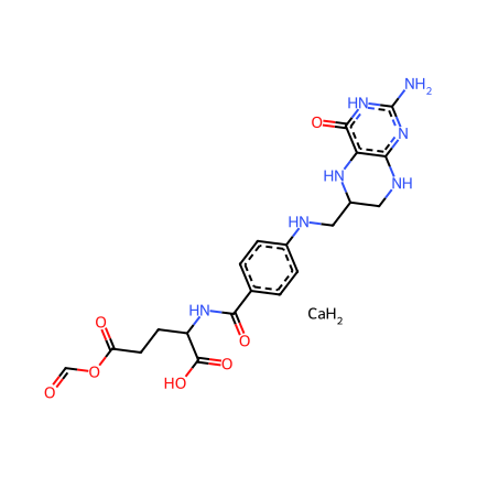 Nc1nc2c(c(=O)[nH]1)NC(CNc1ccc(C(=O)NC(CCC(=O)OC=O)C(=O)O)cc1)CN2.[CaH2]